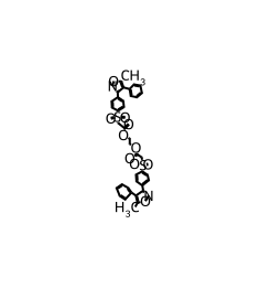 Cc1onc(-c2ccc(S(=O)(=O)CC(=O)OCCOC(=O)CS(=O)(=O)c3ccc(-c4noc(C)c4-c4ccccc4)cc3)cc2)c1-c1ccccc1